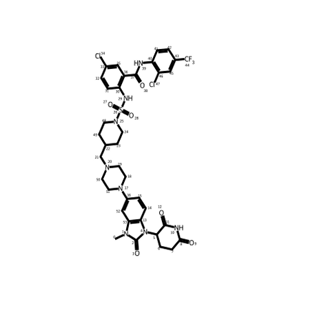 Cn1c(=O)n(C2CCC(=O)NC2=O)c2ccc(N3CCN(CC4CCN(S(=O)(=O)Nc5ccc(Cl)cc5C(=O)Nc5ccc(C(F)(F)F)cc5Cl)CC4)CC3)cc21